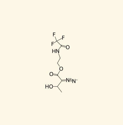 CC(O)C(=[N+]=[N-])C(=O)OCCNC(=O)C(F)(F)F